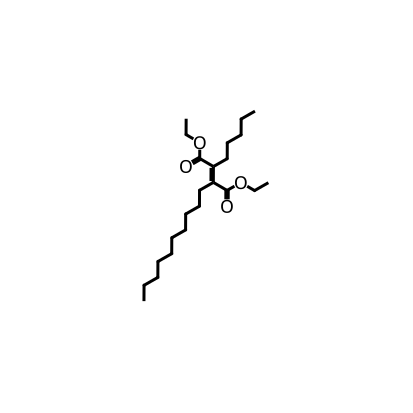 CCCCCCCCCCC(C(=O)OCC)=C(CCCCC)C(=O)OCC